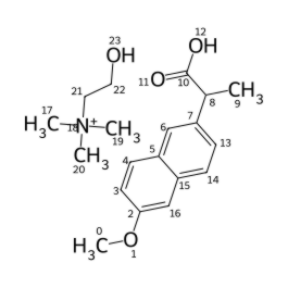 COc1ccc2cc(C(C)C(=O)O)ccc2c1.C[N+](C)(C)CCO